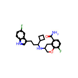 NC(=O)c1ccc(F)c2c1CC(NC(CCc1c[nH]c3ccc(F)cc13)C1CCC1)CO2